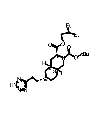 CCC(CC)COC(=O)[C@@H]1C[C@H]2C[C@@H](CCc3nn[nH]n3)CC[C@H]2CN1C(=O)OC(C)(C)C